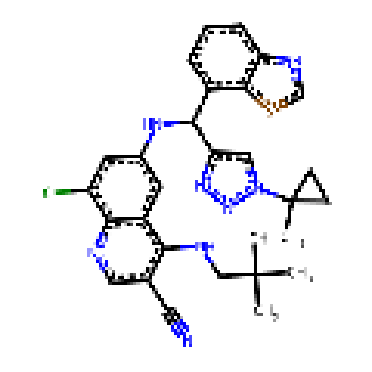 CC(C)(C)CNc1c(C#N)cnc2c(Cl)cc(N[C@H](c3cn(C4(C)CC4)nn3)c3cccc4ncsc34)cc12